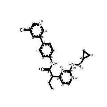 CCC(C(=O)Nc1ccc(-c2cncc(Cl)c2)cc1)c1ccnc(NSC2CC2)n1